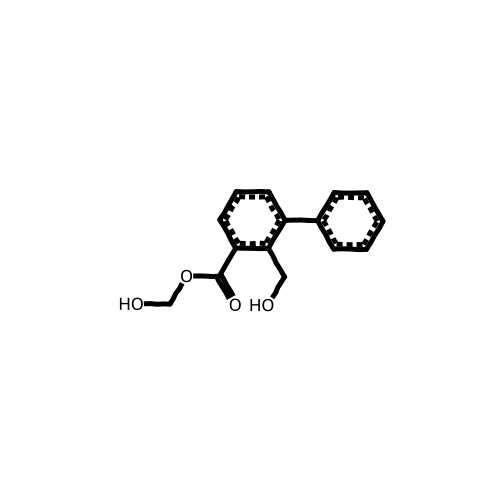 O=C(OCO)c1cccc(-c2ccccc2)c1CO